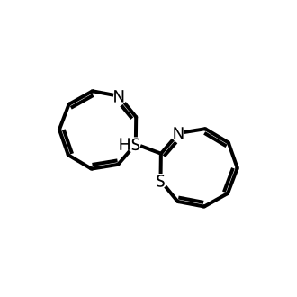 C1=CC=C[SH](c2nccccccs2)C=NC=C1